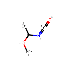 CCCOC(CC)N=C=O